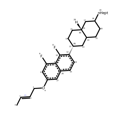 C/C=C/COc1cc(F)c2c(F)c([C@@H]3CC[C@@H]4CC(CCCCCCC)CCC4C3)ccc2c1